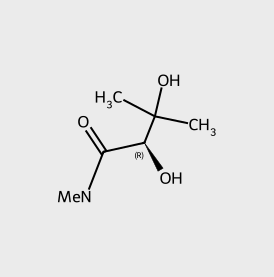 CNC(=O)[C@H](O)C(C)(C)O